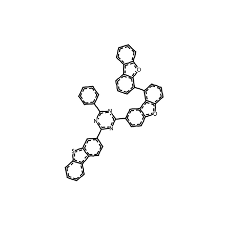 c1ccc(-c2nc(-c3ccc4c(c3)sc3ccccc34)nc(-c3ccc4oc5cccc(-c6cccc7c6oc6ccccc67)c5c4c3)n2)cc1